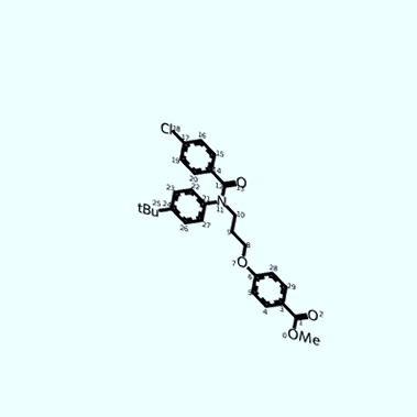 COC(=O)c1ccc(OCCCN(C(=O)c2ccc(Cl)cc2)c2ccc(C(C)(C)C)cc2)cc1